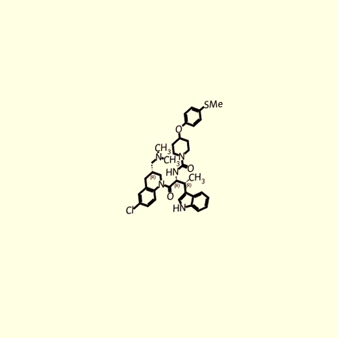 CSc1ccc(OC2CCN(C(=O)N[C@@H](C(=O)N3C[C@@H](CN(C)C)Cc4cc(Cl)ccc43)[C@H](C)c3c[nH]c4ccccc34)CC2)cc1